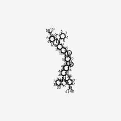 Cc1ccccc1N(c1ccc2cc3c(cc2c1)oc1cc2oc4cc5cc(N(c6ccccc6C)c6cc(C(C)C)ccc6C)ccc5cc4c2cc13)c1cc(C(C)C)ccc1C